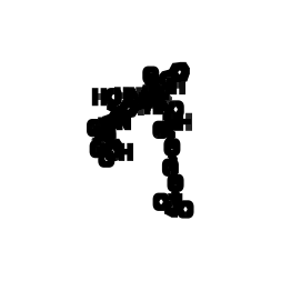 CC[C@@]1(O)C(=O)OCc2c1cc1n(c2=O)Cc2c-1nc1cc(F)c(NC(=O)CNC(=O)C(Cc3ccccc3)NC(=O)CNC(=O)CNC(=O)CCOCCOCCOCCN3C(=O)C=CC3=O)cc1c2CO